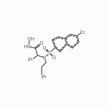 CCc1ccc2cc(S(=O)(=O)N(CCC(C)C)C(C(=O)NO)C(C)C)ccc2c1